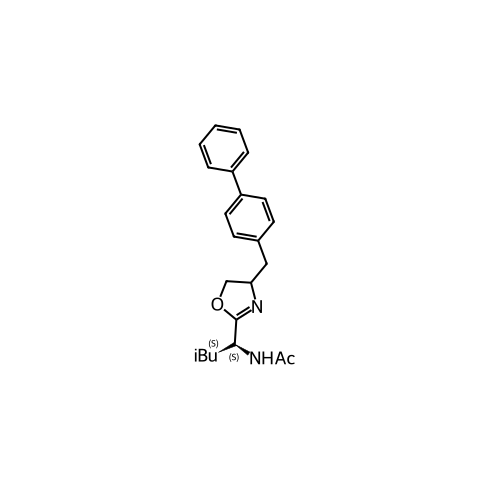 CC[C@H](C)[C@H](NC(C)=O)C1=NC(Cc2ccc(-c3ccccc3)cc2)CO1